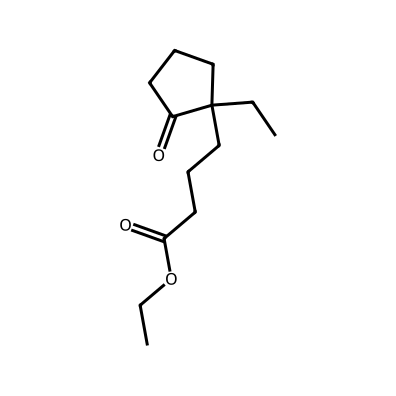 CCOC(=O)CCCC1(CC)CCCC1=O